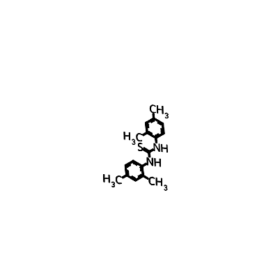 Cc1ccc(NC(=S)Nc2ccc(C)cc2C)c(C)c1